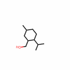 CC1CCC(C(C)C)C(CO)C1